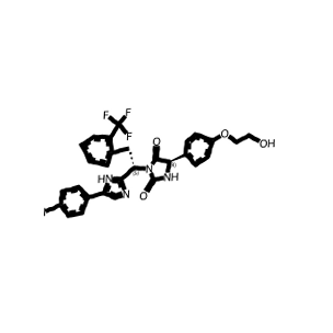 O=C1N[C@H](c2ccc(OCCO)cc2)C(=O)N1[C@@H](Cc1ccccc1C(F)(F)F)c1ncc(-c2ccc(I)cc2)[nH]1